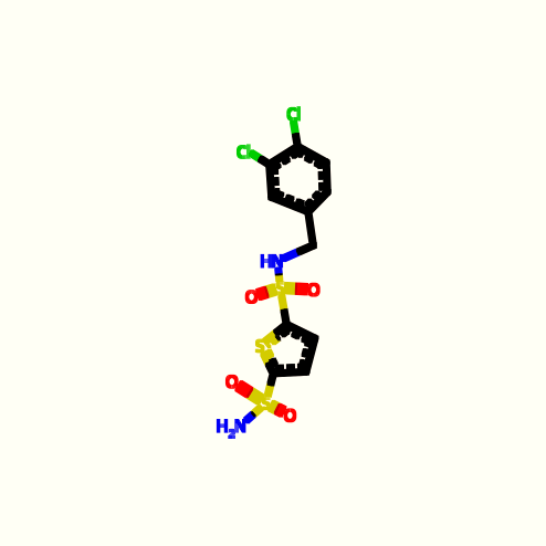 NS(=O)(=O)c1ccc(S(=O)(=O)NCc2ccc(Cl)c(Cl)c2)s1